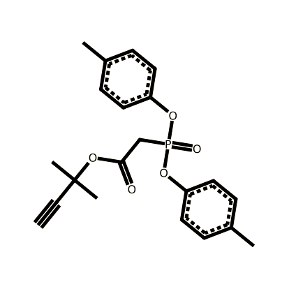 C#CC(C)(C)OC(=O)CP(=O)(Oc1ccc(C)cc1)Oc1ccc(C)cc1